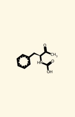 CC(=O)[C@H](Cc1ccccc1)NC(=O)O